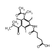 CC(=O)N(C)c1c(I)c(NC(=O)CCCC(=O)O)c(I)c(C(=O)N(C)C)c1I